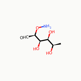 C[C@@H](O)[C@H](O)[C@@H](O)[C@@H](C=O)ON